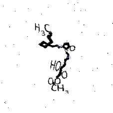 CCCCC1(C/C=C/[C@H]2C=CC(=O)[C@@H]2C/C=C\CCC(O)C(=O)COC(C)=O)CCC1